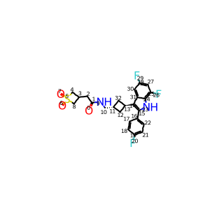 O=C(CC1CS(=O)(=O)C1)NC[C@H]1C[C@H](c2c(-c3ccc(F)cc3)[nH]c3c(F)cc(F)cc32)C1